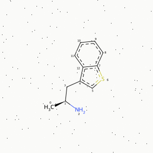 C[C@H](N)Cc1csc2ccccc12